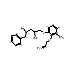 C=CCOc1c(OCC(O)CN(Cc2ccccc2)C(C)(C)C)cccc1[N+](=O)[O-]